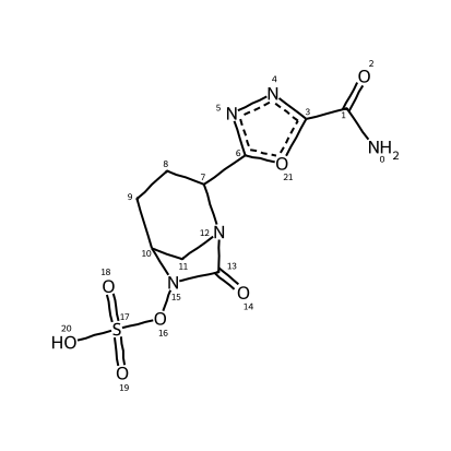 NC(=O)c1nnc(C2CCC3CN2C(=O)N3OS(=O)(=O)O)o1